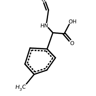 Cc1ccc(C(NC=O)C(=O)O)cc1